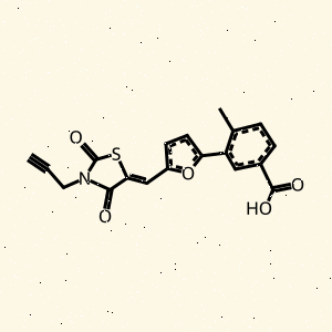 C#CCN1C(=O)S/C(=C\c2ccc(-c3cc(C(=O)O)ccc3C)o2)C1=O